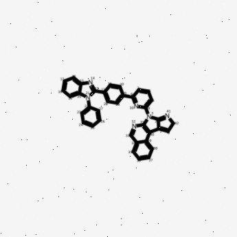 C1=c2c(n(-c3cccc(-c4ccc(-c5nc6ccccc6n5-c5ccccc5)cc4)n3)c3ncc4ccccc4c23)=NC1